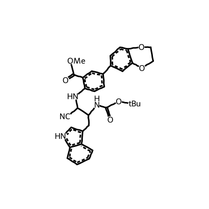 COC(=O)c1cc(-c2ccc3c(c2)OCCO3)ccc1NC(C#N)C(Cc1c[nH]c2ccccc12)NC(=O)OC(C)(C)C